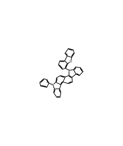 c1ccc(-n2c3ccccc3c3c4ccc5c6ccccc6n(-c6cccc7c6oc6ccccc67)c5c4ccc32)cc1